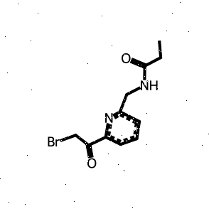 CCC(=O)NCc1cccc(C(=O)CBr)n1